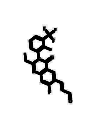 CCc1nc2cc(F)c(/C=C/C=O)cc2c(=O)n1-c1cccc(C(F)(F)F)c1C